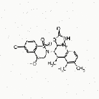 Cc1ccc(F)c([C@@H](C)[C@@H](c2n[nH]c(=O)o2)N2CN(O)c3cc(Cl)ccc3S2(=O)=O)c1C